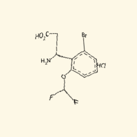 Cl.NC(CC(=O)O)c1c(Br)cccc1OC(F)F